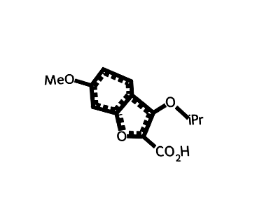 COc1ccc2c(OC(C)C)c(C(=O)O)oc2c1